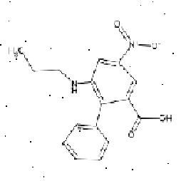 CCCNc1cc([N+](=O)[O-])cc(C(=O)O)c1-c1ccccc1